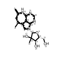 C=c1cc(C)c2cn([C@@H]3O[C@H](CO)[C@@H](O)C3(C)O)c3ncnc([nH]1)c23